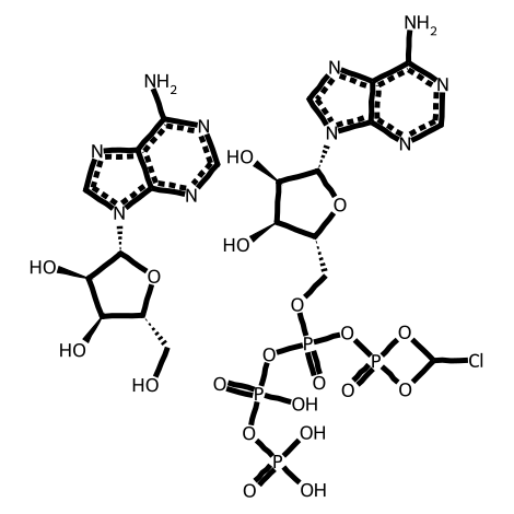 Nc1ncnc2c1ncn2[C@@H]1O[C@H](CO)[C@@H](O)[C@H]1O.Nc1ncnc2c1ncn2[C@@H]1O[C@H](COP(=O)(OP(=O)(O)OP(=O)(O)O)OP2(=O)OC(Cl)O2)[C@@H](O)[C@H]1O